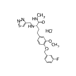 CNC(=O)C(CCc1ccc(OCc2cccc(F)c2)c(OC)c1)NCc1csnn1.Cl